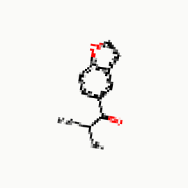 CCCCC(NC)C(=O)c1ccc2occc2c1